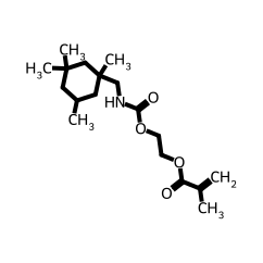 C=C(C)C(=O)OCCOC(=O)NCC1(C)CC(C)CC(C)(C)C1